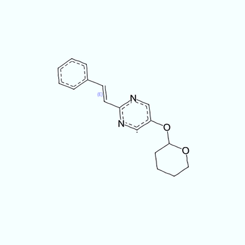 [c]1nc(/C=C/c2ccccc2)ncc1OC1CCCCO1